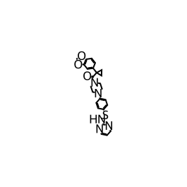 O=C(N1CCN(c2ccc(SNc3ncccn3)cc2)CC1)C1(c2ccc3c(c2)OCO3)CC1